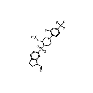 CCC1CN(c2ccc(C(F)(F)F)cc2F)CCN1S(=O)(=O)c1ccc2c(c1)C(C=O)CC2